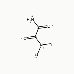 CCN(C)C(=O)C(N)=O